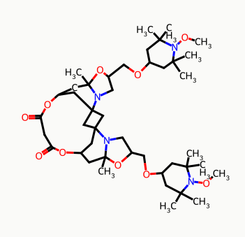 CON1C(C)(C)CC(OCC2CN3C45CC(CC3(C)O2)OC(=O)CC(=O)OC2CC(C4)(C5)N3CC(COC4CC(C)(C)N(OC)C(C)(C)C4)OC3(C)C2)CC1(C)C